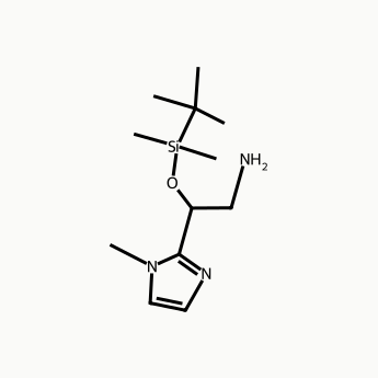 Cn1ccnc1C(CN)O[Si](C)(C)C(C)(C)C